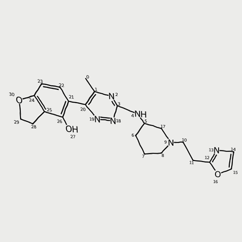 Cc1nc(NC2CCCN(CCc3ncco3)C2)nnc1-c1ccc2c(c1O)CCO2